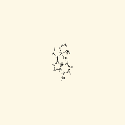 CC1CCC(n2cnc3c(S)ncnc32)C1(C)C